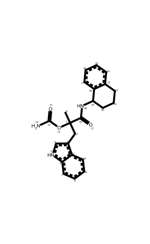 CC(Cc1c[nH]c2ccccc12)(OC(N)=O)C(=O)NC1CCCc2ccccc21